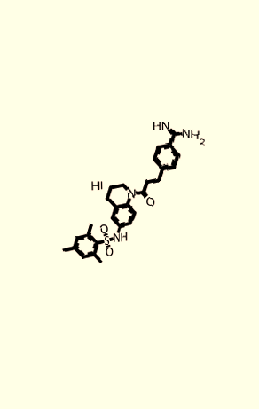 Cc1cc(C)c(S(=O)(=O)Nc2ccc3c(c2)CCCN3C(=O)CCc2ccc(C(=N)N)cc2)c(C)c1.I